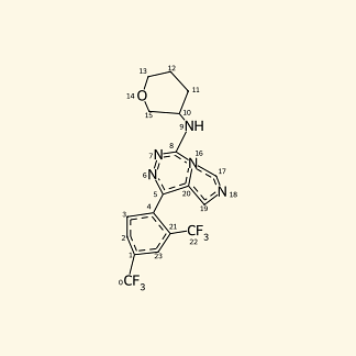 FC(F)(F)c1ccc(-c2nnc(NC3CCCOC3)n3cncc23)c(C(F)(F)F)c1